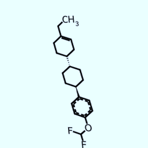 CCC1=CCC([C@H]2CC[C@H](c3ccc(OC(F)F)cc3)CC2)CC1